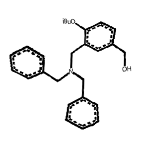 CC(C)COc1ccc(CO)cc1CN(Cc1ccccc1)Cc1ccccc1